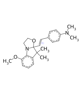 COc1cccc2c1N1CCOC1(/C=C/c1ccc(N(C)C)cc1)C2(C)C